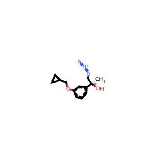 C[C@@](O)(CN=[N+]=[N-])c1cccc(OCC2CC2)c1